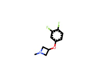 CN1CC(Oc2ccc(F)c(F)c2)C1